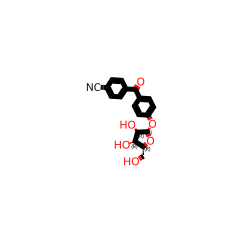 N#Cc1ccc(C(=O)c2ccc(O[C@H]3O[C@H](CO)[C@H](O)[C@H]3O)cc2)cc1